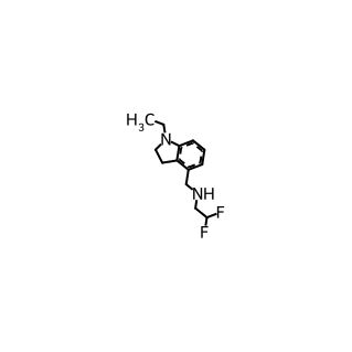 CCN1CCc2c(CNCC(F)F)cccc21